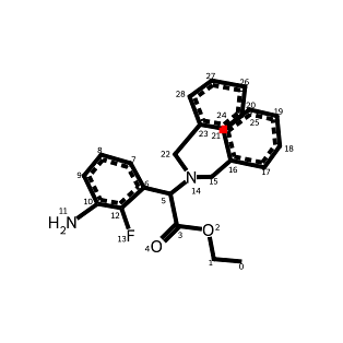 CCOC(=O)C(c1cccc(N)c1F)N(Cc1ccccc1)Cc1ccccc1